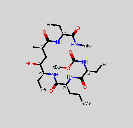 CCCCNC(=O)[C@H](CC(C)C)NC(=O)[C@H](C)C[C@H](O)[C@H](CC(C)C)NC(=O)[C@H](CCSC)NC(=O)[C@H](CC(C)C)NC(=O)OC(C)(C)C